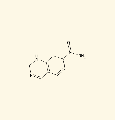 NC(=O)N1C=CC2=C(C1)NCN=C2